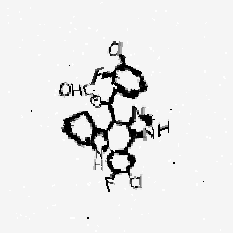 O=COC(c1cccc(Cl)c1F)C(c1nc[nH]c1-c1ccc(F)c(Cl)c1)c1c[nH]c2ccccc12